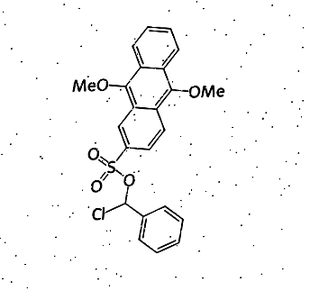 COc1c2ccccc2c(OC)c2cc(S(=O)(=O)OC(Cl)c3ccccc3)ccc12